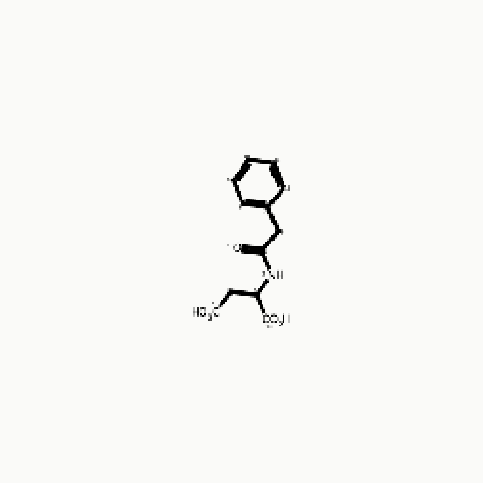 O=C(O)CC(NC(=O)Cc1ccccc1)C(=O)O